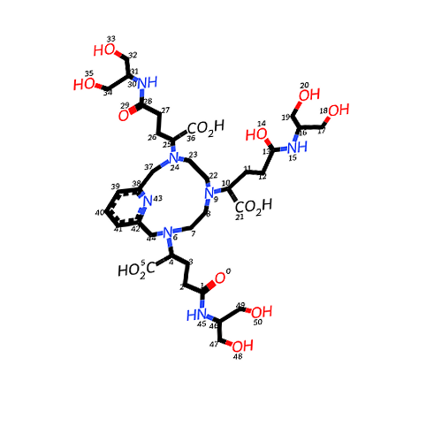 O=C(CCC(C(=O)O)N1CCN(C(CCC(O)NC(CO)CO)C(=O)O)CCN(C(CCC(=O)NC(CO)CO)C(=O)O)Cc2cccc(n2)C1)NC(CO)CO